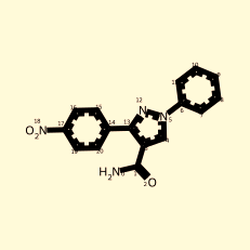 NC(=O)c1cn(-c2ccccc2)nc1-c1ccc([N+](=O)[O-])cc1